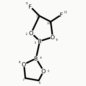 FC1OB(B2OCCO2)OC1F